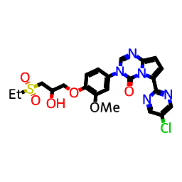 CCS(=O)(=O)CC(O)COc1ccc(-n2cnc3ccc(-c4ncc(Cl)cn4)n3c2=O)cc1OC